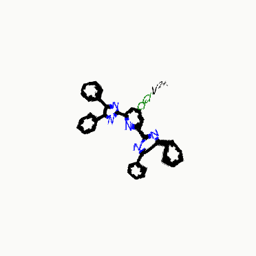 [Cl-].[Cl-].[V+2].c1ccc(C2=NC(c3cccc(C4=NC(c5ccccc5)C(c5ccccc5)=N4)n3)=NC2c2ccccc2)cc1